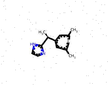 Cc1cc(C)cc([C@H](C)c2ncc[nH]2)c1